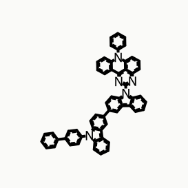 c1ccc(-c2ccc(-n3c4ccccc4c4cc(-c5ccc6c(c5)c5ccccc5n6-c5nc6c7c(cccc7n5)N(c5ccccc5)c5ccccc5-6)ccc43)cc2)cc1